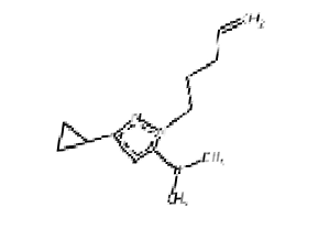 C=CCCCn1nc(C2CC2)cc1N(C)C